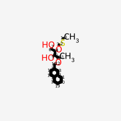 CCSCOC(CO)[C@@H](O)[C@@H](C)OCc1ccc2ccccc2c1